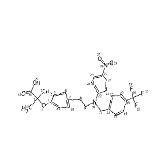 CC(C)(Oc1ccc(CCN(Cc2ccc(C(F)(F)F)cc2)c2ccc([N+](=O)[O-])cn2)cc1)C(=O)O